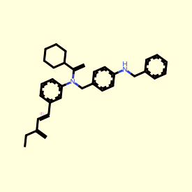 C=C(/C=C/c1cccc(N(Cc2ccc(NCc3ccccc3)cc2)C(=C)C2CCCCC2)c1)CC